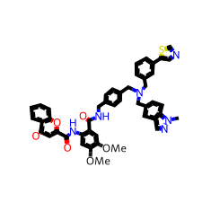 COc1cc(NC(=O)c2cc(=O)c3ccccc3o2)c(C(=O)NCc2ccc(CN(Cc3cccc(-c4cncs4)c3)Cc3ccc4c(cnn4C)c3)cc2)cc1OC